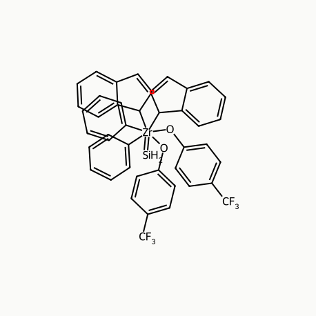 FC(F)(F)c1ccc([O][Zr](=[SiH2])([O]c2ccc(C(F)(F)F)cc2)([c]2ccccc2)([c]2ccccc2)([CH]2C=Cc3ccccc32)[CH]2C=Cc3ccccc32)cc1